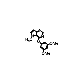 COc1cc(OC)cc(Oc2ncnc3ccn(C)c23)c1